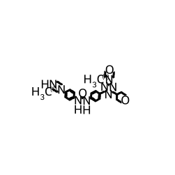 C[C@@H]1COCCN1c1nc(-c2ccc(NC(=O)Nc3ccc(N4CCN[C@@H](C)C4)cc3)cc2)nc(C2CCOCC2)n1